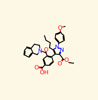 CCCCc1c(-c2ccc(C(=O)O)cc2C(=O)N2CCc3ccccc3C2)c(C(=O)OCC)nn1-c1ccc(OC)cc1